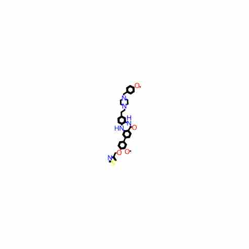 COc1ccc(CN2CCN(CCc3ccc4c(c3)NC(=O)c3ccc(-c5ccc(OCc6cscn6)c(OC)c5)cc3N4)CC2)cc1